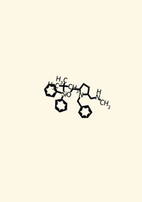 CNCC1CCC(CO[Si](c2ccccc2)(c2ccccc2)C(C)(C)C)N1Cc1ccccc1